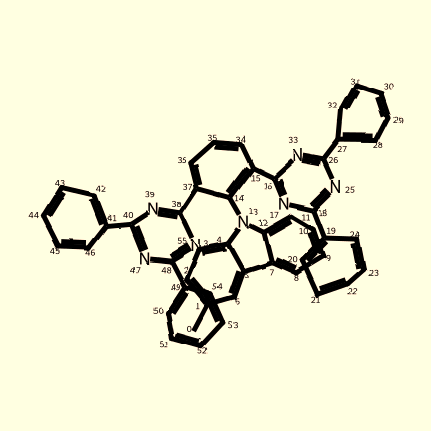 Cc1ccc2c(c1)c1ccccc1n2-c1c(-c2nc(-c3ccccc3)nc(-c3ccccc3)n2)cccc1-c1nc(-c2ccccc2)nc(-c2ccccc2)n1